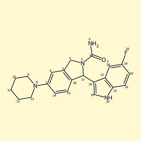 NC(=O)N1Cc2cc(N3CCCCC3)ccc2C1c1c[nH]c2ccc(F)cc12